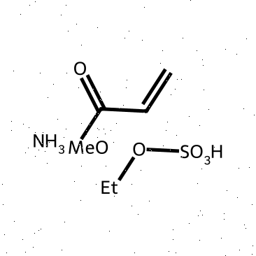 C=CC(=O)OC.CCOS(=O)(=O)O.N